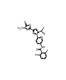 Cn1nc(-c2cc(C(F)F)n(-c3ccc(NC(=O)c4c(F)cccc4F)cn3)n2)oc1=O